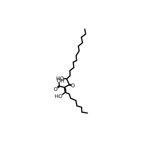 CCCCCCCCCCCCC(O)C(=O)/C(C(=O)O)=C(/O)CCCCCCC